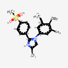 COc1c(C)cc(-n2cc(C(F)(F)F)nc2-c2ccc(S(C)(=O)=O)cc2)cc1C